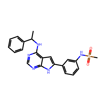 CC(Nc1ncnc2[nH]c(-c3cccc(NS(C)(=O)=O)c3)cc12)c1ccccc1